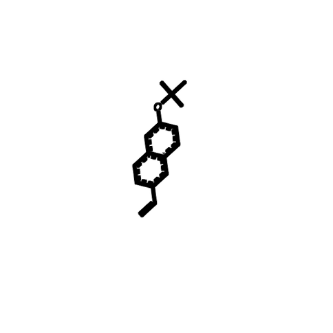 C=Cc1ccc2cc(OC(C)(C)C)ccc2c1